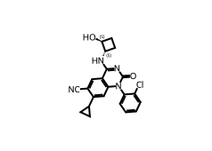 N#Cc1cc2c(N[C@H]3CC[C@@H]3O)nc(=O)n(-c3ccccc3Cl)c2cc1C1CC1